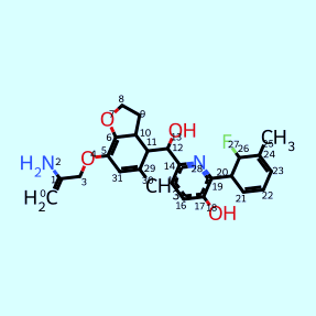 C=C(N)COC1=C2OCCC2C(C(O)c2ccc(O)c(C3C=CC=C(C)C3F)n2)C(C)=C1